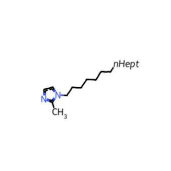 CCCCCCCCCCCCCCn1ccnc1C